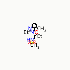 CCc1nc(OC(CC)CCNS(C)(=O)=O)c2c(C)cccc2n1